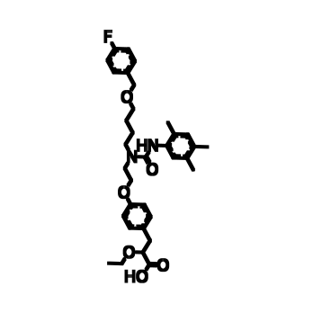 CCOC(Cc1ccc(OCCN(CCCCOCc2ccc(F)cc2)C(=O)Nc2cc(C)c(C)cc2C)cc1)C(=O)O